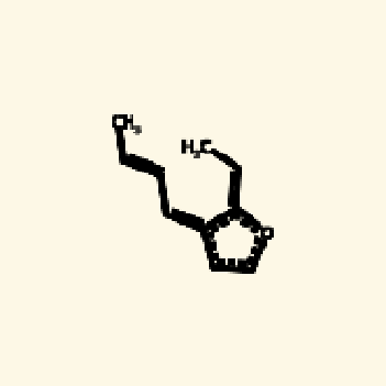 C/C=C/C=c1/cco/c1=C/C